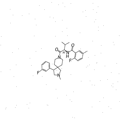 Cc1ccc(F)c(C(=O)N[C@@H](C(=O)N2CCC3(CC2)CN(C)CC3c2cccc(F)c2)C(C)C)c1